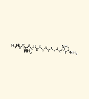 NCCC(N)=CCCCCCCCCCCC=C(N)CCN